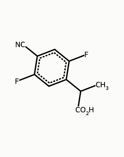 CC(C(=O)O)c1cc(F)c(C#N)cc1F